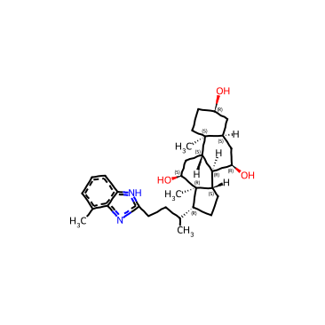 Cc1cccc2[nH]c(CCC(C)[C@H]3CC[C@H]4[C@@H]5[C@H](O)C[C@@H]6C[C@H](O)CC[C@]6(C)[C@H]5C[C@H](O)[C@]34C)nc12